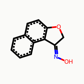 ON=C1COc2ccc3ccccc3c21